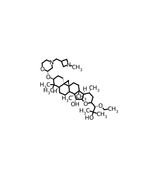 CCO[C@@H](C1C[C@@H](C)[C@H]2C(O1)[C@H](O)[C@@]1(C)C3CC[C@H]4C(C)(C)[C@@H](O[C@H]5CN(CC6CN(C)C6)CCO5)CC[C@@]45C[C@@]35CC[C@]21C)C(C)(C)O